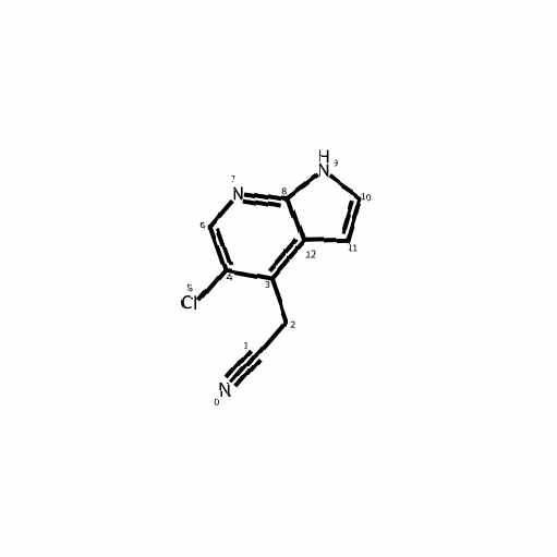 N#CCc1c(Cl)cnc2[nH]ccc12